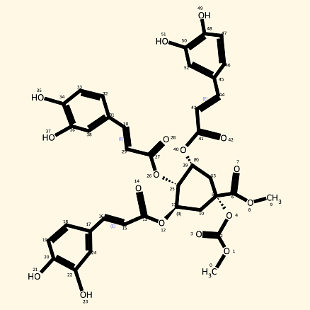 COC(=O)O[C@]1(C(=O)OC)C[C@@H](OC(=O)/C=C/c2ccc(O)c(O)c2)[C@H](OC(=O)/C=C/c2ccc(O)c(O)c2)[C@H](OC(=O)/C=C/c2ccc(O)c(O)c2)C1